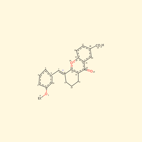 CCOc1cccc(/C=C2\CCCc3c2oc2ccc(C(=O)O)cc2c3=O)c1